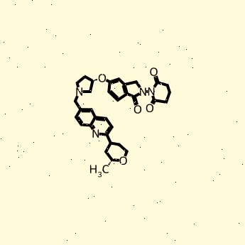 C[C@@H]1CC(c2ccc3cc(CN4CC[C@H](Oc5ccc6c(c5)CN(N5C(=O)CCCC5=O)C6=O)C4)ccc3n2)CCO1